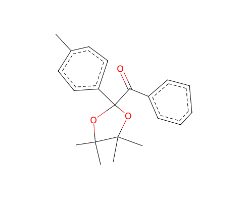 Cc1ccc(C2(C(=O)c3ccccc3)OC(C)(C)C(C)(C)O2)cc1